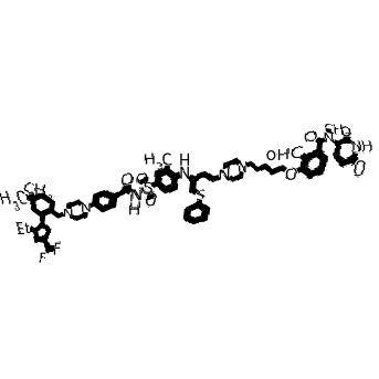 CCC1C=C(C(F)F)CC1C1=C(CN2CCN(c3ccc(C(=O)NS(=O)(=O)c4ccc(NC(CCN5CCN(CCCCCOc6cccc(C(=O)N(C)C7CCC(=O)NC7=O)c6C=O)CC5)CSc5ccccc5)c(C)c4)cc3)CC2)CCC(C)(C)C1